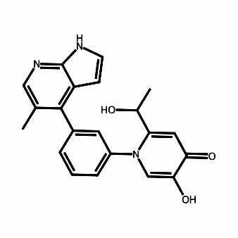 Cc1cnc2[nH]ccc2c1-c1cccc(-n2cc(O)c(=O)cc2C(C)O)c1